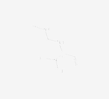 C=C[SiH](NCNCC)N(C)C